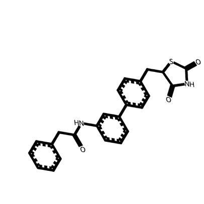 O=C(Cc1ccccc1)Nc1cccc(-c2ccc(CC3SC(=O)NC3=O)cc2)c1